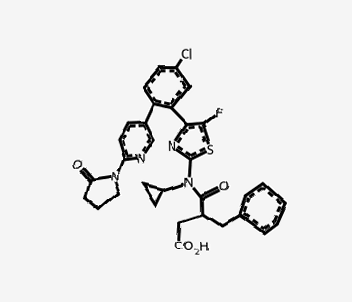 O=C(O)CC(Cc1ccccc1)C(=O)N(c1nc(-c2cc(Cl)ccc2-c2ccc(N3CCCC3=O)nc2)c(F)s1)C1CC1